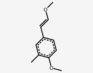 COC=Cc1ccc(OC)c(C)c1